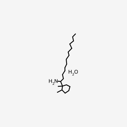 CCCCCCCCCCCCCC(N)C1(C)CCCCC1C.O